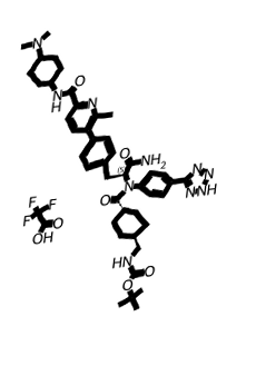 Cc1nc(C(=O)NC2CCC(N(C)C)CC2)ccc1-c1ccc(C[C@@H](C(N)=O)N(c2ccc(-c3nn[nH]n3)cc2)C(=O)[C@H]2CC[C@H](CNC(=O)OC(C)(C)C)CC2)cc1.O=C(O)C(F)(F)F